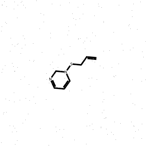 C=CCSN1C=CC=NC1